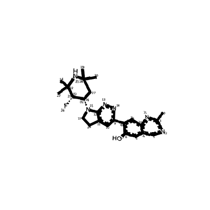 Cc1ncc2cc(O)c(-c3cc4c(nn3)N([C@H]3CC(C)(C)NC(C)(C)[C@H]3F)CC4)cc2n1